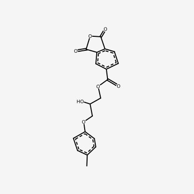 Cc1ccc(OCC(O)COC(=O)c2ccc3c(c2)C(=O)OC3=O)cc1